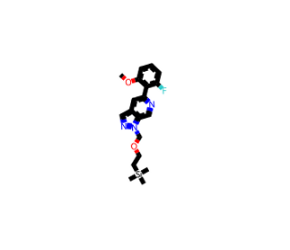 COc1cccc(F)c1-c1cc2cnn(COCC[Si](C)(C)C)c2cn1